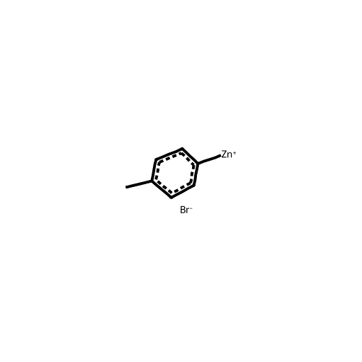 Cc1cc[c]([Zn+])cc1.[Br-]